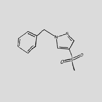 CS(=O)(=O)c1cnn(Cc2ccccc2)c1